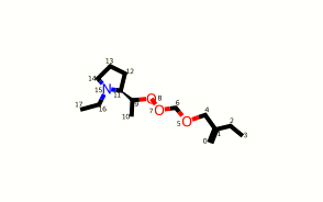 C=C(CC)COCOOC(C)[C@@H]1CCCN1CC